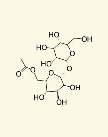 CC(=O)OCC1O[C@H](O[C@H]2OC(CO)[C@@H](O)C(O)[C@H]2O)C(O)[C@@H](O)[C@@H]1O